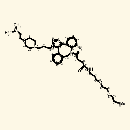 CN(C)CCN1CCN(CCCn2nnc3c2-c2ccccc2CN(C(=O)CCC(=O)NCCCOCCOCCC(C)(C)C)c2ccccc2-3)CC1